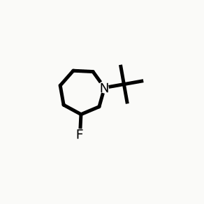 CC(C)(C)N1CCCCC(F)C1